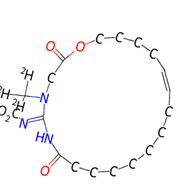 [2H]C([2H])([2H])N1CC(=O)OCCCCC=CCCCCCCCC(=O)NC1=NC(=O)O